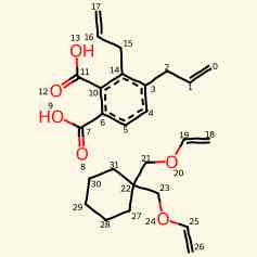 C=CCc1ccc(C(=O)O)c(C(=O)O)c1CC=C.C=COCC1(COC=C)CCCCC1